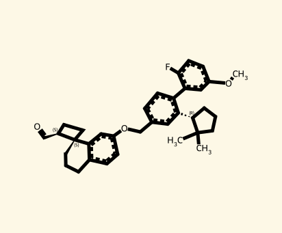 COc1ccc(F)c(-c2ccc(COc3ccc4c(c3)[C@@]3(CCC4)CC[C@@H]3C=O)cc2[C@@H]2CCCC2(C)C)c1